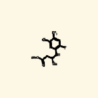 COC(=O)CC(Nc1nc(Cl)c(C(F)(F)F)cc1F)C(C)(C)C